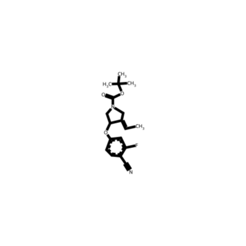 C/C=C1\CN(C(=O)OC(C)(C)C)CC1Oc1ccc(C#N)c(F)c1